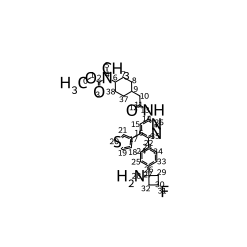 COC(=O)N(C)C1CCC(CC(=O)Nc2cc(-c3ccsc3)c(-c3ccc([C@]4(N)C[C@H](F)C4)cc3)nn2)CC1